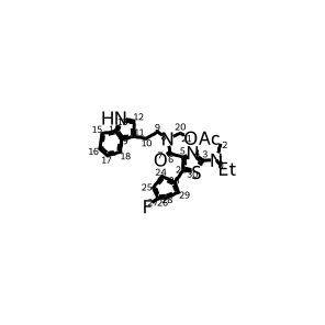 CCN(C)c1nc(C(=O)N(CCc2c[nH]c3ccccc23)COC(C)=O)c(-c2ccc(F)cc2)s1